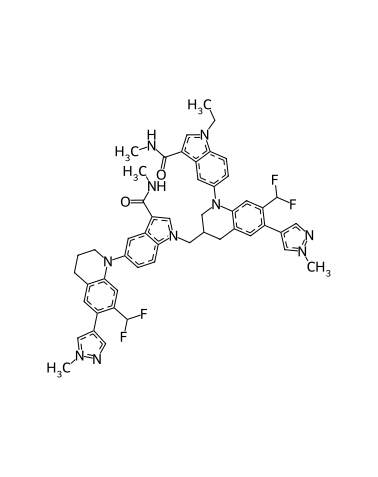 CCn1cc(C(=O)NC)c2cc(N3CC(Cn4cc(C(=O)NC)c5cc(N6CCCc7cc(-c8cnn(C)c8)c(C(F)F)cc76)ccc54)Cc4cc(-c5cnn(C)c5)c(C(F)F)cc43)ccc21